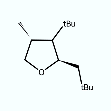 C[C@H]1CO[C@H](CC(C)(C)C)C1C(C)(C)C